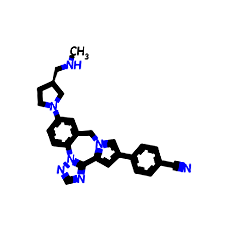 CNC[C@@H]1CCN(c2ccc3c(c2)Cn2cc(-c4ccc(C#N)cc4)cc2-c2ncnn2-3)C1